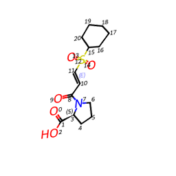 O=C(O)[C@@H]1CCCN1C(=O)/C=C/S(=O)(=O)C1CCCCC1